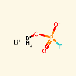 BOP(=O)([O-])F.[Li+]